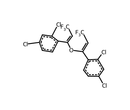 FC(F)(F)C=C(OC(=CC(F)(F)F)c1ccc(Cl)cc1Cl)c1ccc(Cl)cc1Cl